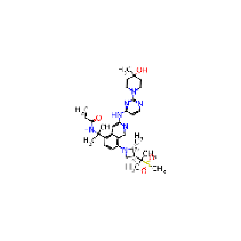 C=CC(=O)NC(C)(C)c1ccc(N2C[C@H](C(C)(C)S(C)(=O)=O)[C@H]2C)c2cnc(Nc3ccnc(N4CCC(C)(O)CC4)n3)cc12